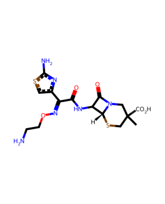 CC1(C(=O)O)CS[C@@H]2C(NC(=O)C(=NOCCN)c3csc(N)n3)C(=O)N2C1